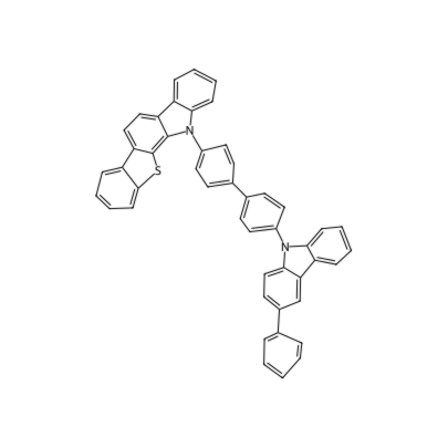 c1ccc(-c2ccc3c(c2)c2ccccc2n3-c2ccc(-c3ccc(-n4c5ccccc5c5ccc6c7ccccc7sc6c54)cc3)cc2)cc1